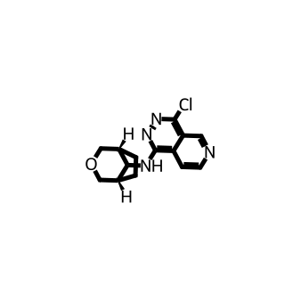 Clc1nnc(NC2[C@@H]3CC[C@H]2COC3)c2ccncc12